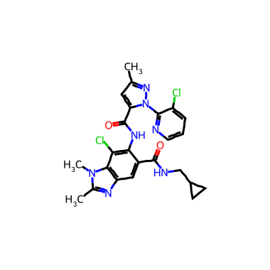 Cc1cc(C(=O)Nc2c(C(=O)NCC3CC3)cc3nc(C)n(C)c3c2Cl)n(-c2ncccc2Cl)n1